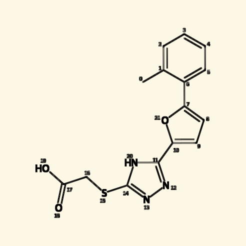 Cc1ccccc1-c1ccc(-c2nnc(SCC(=O)O)[nH]2)o1